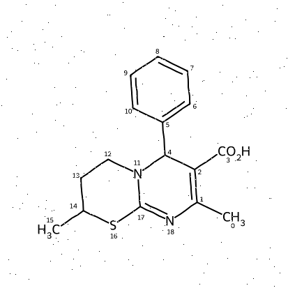 CC1=C(C(=O)O)C(c2ccccc2)N2CCC(C)SC2=N1